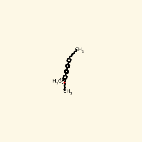 CCCCCCCC1CCC(c2ccc(-c3ccc(C4CCC(CCCCCCC)(C(=O)OC)CC4)cc3)cc2)CC1